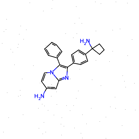 Nc1ccn2c(-c3ccccc3)c(-c3ccc(C4(N)CCC4)cc3)nc2c1